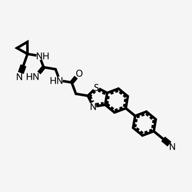 N#Cc1ccc(-c2ccc3sc(CC(=O)NCC(=N)NC4(C#N)CC4)nc3c2)cc1